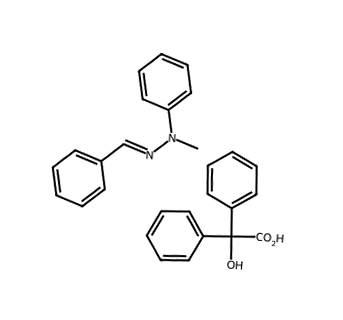 CN(N=Cc1ccccc1)c1ccccc1.O=C(O)C(O)(c1ccccc1)c1ccccc1